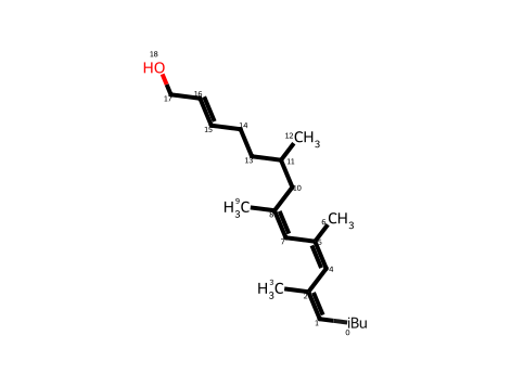 CCC(C)C=C(C)C=C(C)C=C(C)CC(C)CCC=CCO